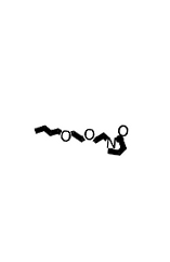 CCCCOCCOCCN1CCCC1=O